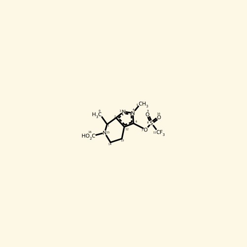 CC1c2nn(C)c(OS(=O)(=O)C(F)(F)F)c2CCN1C(=O)O